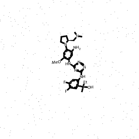 CCC(C)(O)c1cc(F)c(F)cc1Nc1ncnc(Nc2cc(N)c(N3CCC[C@H]3CN(C)C)cc2OC)n1